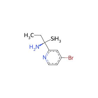 CC[C@](N)([SiH3])c1cc(Br)ccn1